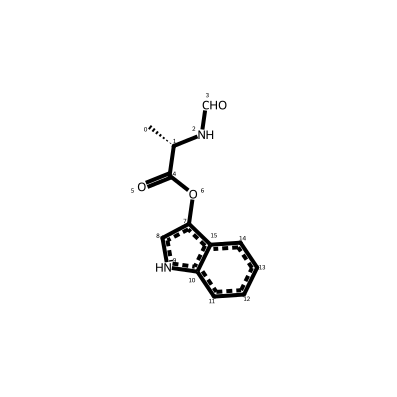 C[C@H](NC=O)C(=O)Oc1c[nH]c2ccccc12